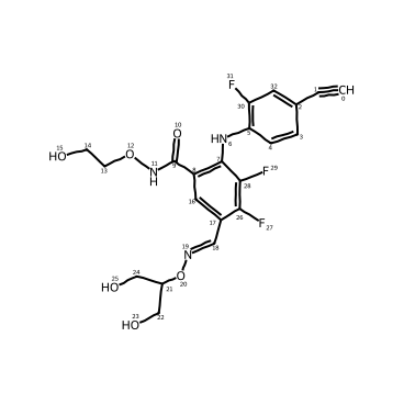 C#Cc1ccc(Nc2c(C(=O)NOCCO)cc(C=NOC(CO)CO)c(F)c2F)c(F)c1